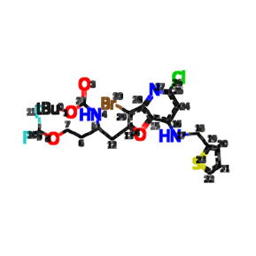 CC(C)(C)OC(=O)NC(CCOC(F)F)Cc1oc2c(NCc3cccs3)cc(Cl)nc2c1Br